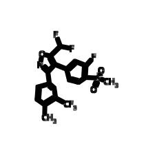 Cc1ccc(-c2noc(C(F)F)c2-c2ccc(S(C)(=O)=O)c(F)c2)cc1C(F)(F)F